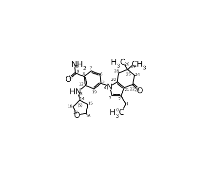 CCc1cn(-c2ccc(C(N)=O)c(N[C@H]3CCOC3)c2)c2c1C(=O)CC(C)(C)C2